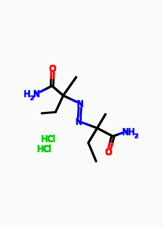 CCC(C)(N=NC(C)(CC)C(N)=O)C(N)=O.Cl.Cl